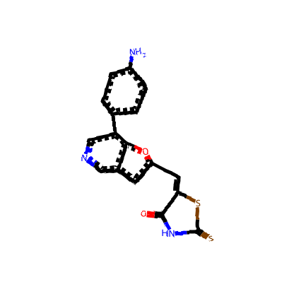 Nc1ccc(-c2cncc3cc(C=C4SC(=S)NC4=O)oc23)cc1